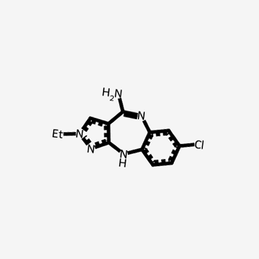 CCn1cc2c(n1)Nc1ccc(Cl)cc1N=C2N